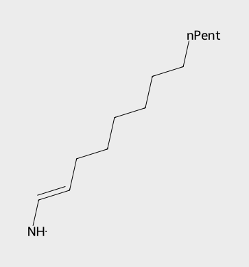 CCCCCCCCCCCC=C[NH]